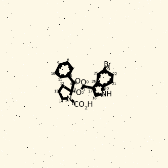 O=C(O[C@@]1(C(=O)c2ccccc2)CCCN1C(=O)O)c1c[nH]c2ccc(Br)cc12